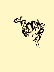 CC1CN(c2ccc(Nc3ncc4cc(-c5ccc(C6CCCN6C)cn5)c(=O)n(Cc5nccs5)c4n3)cc2F)CCN1